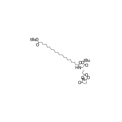 CC(C)(C)OC(=O)CCCCCCCCCCCCCCCCCCC(=O)N[C@@H](CCC(=O)ON1C(=O)CCC1=O)C(=O)OC(C)(C)C